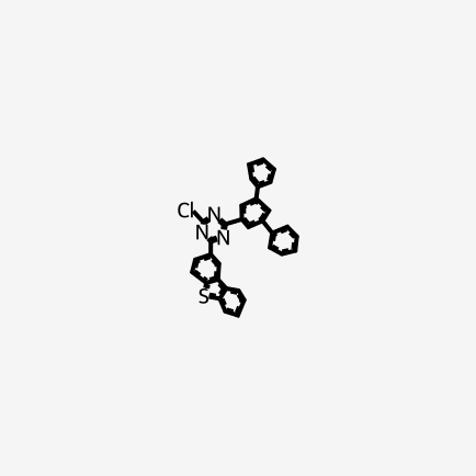 Clc1nc(-c2cc(-c3ccccc3)cc(-c3ccccc3)c2)nc(-c2ccc3sc4ccccc4c3c2)n1